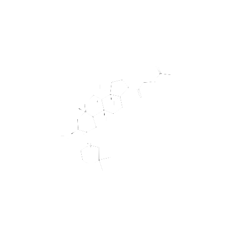 CC(=O)OCC(=O)[C@H]1CC[C@H]2[C@@H]3CC[C@H]4C[C@H](O)[C@@H](N5CCOC(C)(C)C5)C[C@]4(C)[C@H]3CC[C@]12C